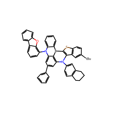 CC(C)(C)c1ccc2sc3c(c2c1)N(c1ccc2c(c1)CCCC2)c1cc(-c2ccccc2)cc2c1B3c1ccccc1N2c1cccc2c1oc1ccccc12